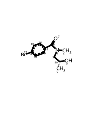 C[C@@H](O)CN(C)C(=O)c1ccc(Br)cc1